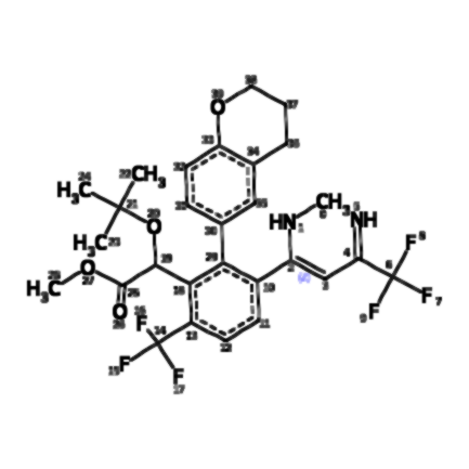 CN/C(=C\C(=N)C(F)(F)F)c1ccc(C(F)(F)F)c(C(OC(C)(C)C)C(=O)OC)c1-c1ccc2c(c1)CCCO2